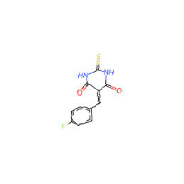 O=C1NC(=S)NC(=O)C1=Cc1ccc(F)cc1